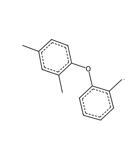 [CH2]c1ccccc1Oc1ccc(C)cc1C